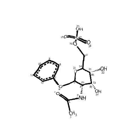 CC(=O)N[C@@H]1C(Oc2ccccc2)OC(COS(=O)(=O)O)[C@H](O)[C@@H]1O